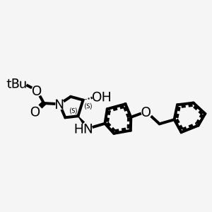 CC(C)(C)OC(=O)N1C[C@H](Nc2ccc(OCc3ccccc3)cc2)[C@@H](O)C1